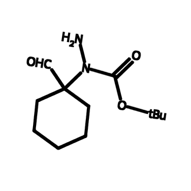 CC(C)(C)OC(=O)N(N)C1(C=O)CCCCC1